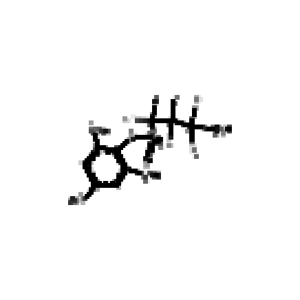 COc1cc(C=O)cc(OC)c1OS(=O)(=O)C(F)(F)C(F)(F)C(F)(F)S(=O)(=O)O